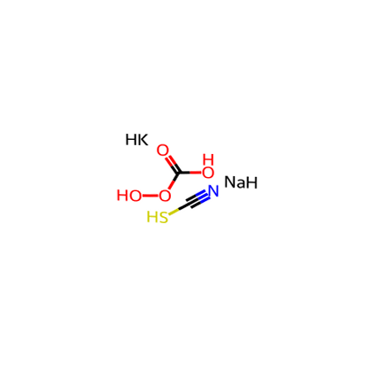 N#CS.O=C(O)OO.[KH].[NaH]